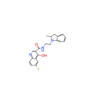 CC1Cc2ccccc2N1CCNC(=O)c1cnc2ccc(F)cc2c1O